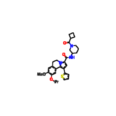 COc1cc2c(cc1OC(C)C)-c1c(-c3cccs3)cc(C(=O)N[C@@H]3CCCN(C(=O)C4CCC4)C3)n1CC2